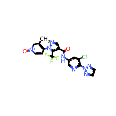 CC1=C(n2ncc(C(=O)Nc3cnc(-n4nccn4)c(Cl)c3)c2C(F)(F)F)C=C[N+](=O)C1